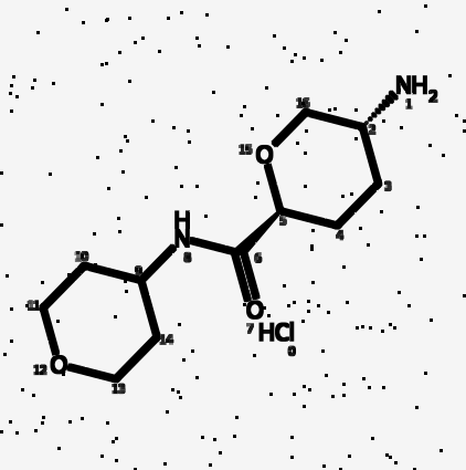 Cl.N[C@@H]1CC[C@@H](C(=O)NC2CCOCC2)OC1